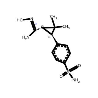 CC1(C)[C@@H](/C(N)=N/O)[C@@H]1c1ccc(S(N)(=O)=O)cc1